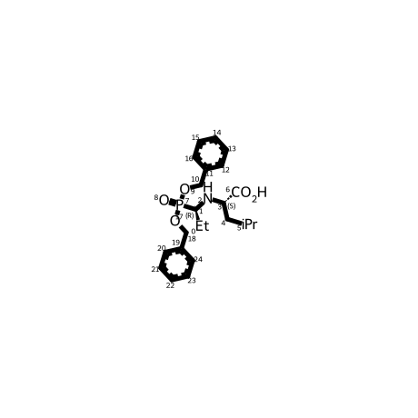 CC[C@H](N[C@@H](CC(C)C)C(=O)O)P(=O)(OCc1ccccc1)OCc1ccccc1